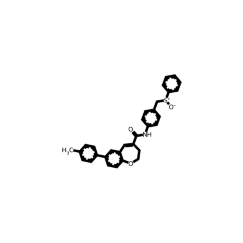 Cc1ccc(-c2ccc3c(c2)C=C(C(=O)Nc2ccc(C[S+]([O-])c4ccccc4)cc2)CCO3)cc1